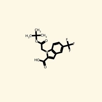 CC(C)(C)OC(=O)Cn1c(C(=O)O)cc2cc(C(F)(F)F)ccc21